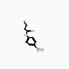 O=C(CCI)Oc1ccc(S(=O)(=O)O)cc1